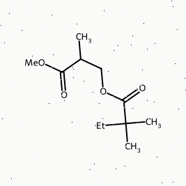 C[CH]C(C)(C)C(=O)OCC(C)C(=O)OC